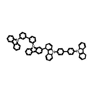 C1=CC2C3=C(C=CCC3)N(c3ccc(-c4ccc(N5C6=C(C(c7ccc8c9ccccc9n(-c9cccc(-c%10cccc(-n%11c%12ccccc%12c%12ccccc%12%11)c%10)c9)c8c7)CC=C6)C6C=CC=CC65)cc4)cc3)C2C=C1